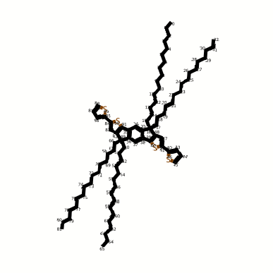 CCCCCCCCCCCCCCCCC1(CCCCCCCCCCCCCCCC)c2cc3c(cc2-c2sc(-c4cccs4)cc21)C(CCCCCCCCCCCCCCCC)(CCCCCCCCCCCCCCCC)c1cc(-c2cccs2)sc1-3